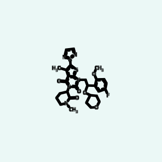 COc1ccc(F)cc1C(Cn1c(=O)n(C2CCCN(C)C2=O)c(=O)c2c(C)c(-n3nccn3)sc21)OC1CCOCC1